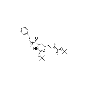 CN(CCc1ccccc1)C(=O)C(CCCCNC(=O)OC(C)(C)C)NC(=O)OC(C)(C)C